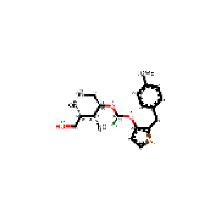 COc1ccc(Cc2sccc2O[C@@H](F)O[C@H](CN=O)[C@H](N=O)[C@H](CO)N=O)cc1